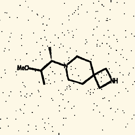 COC(C)[C@H](C)N1CCC2(CC1)CNC2